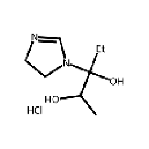 CCC(O)(C(C)O)N1C=NCC1.Cl